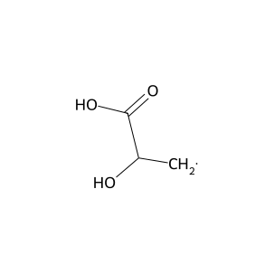 [CH2]C(O)C(=O)O